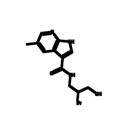 Cc1cnc2[nH]cc(C(=O)NCC(CO)C(C)C)c2c1